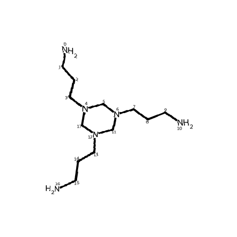 NCCCN1CN(CCCN)CN(CCCN)C1